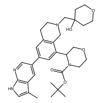 Cc1c[nH]c2ncc(-c3cc4c(c(C5COCCN5C(=O)OC(C)(C)C)c3)CN(CC3(O)CCOCC3)CC4)cc12